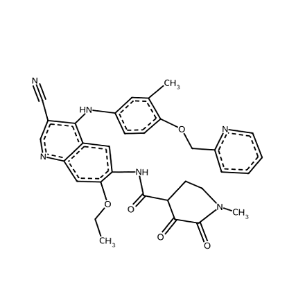 CCOc1cc2ncc(C#N)c(Nc3ccc(OCc4ccccn4)c(C)c3)c2cc1NC(=O)C1CCN(C)C(=O)C1=O